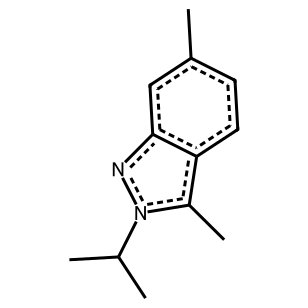 Cc1ccc2c(C)n(C(C)C)nc2c1